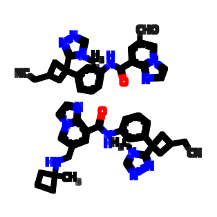 Cn1cnnc1C1(c2cccc(NC(=O)c3cc(C=O)cn4ccnc34)c2)CC(CC#N)C1.Cn1cnnc1C1(c2cccc(NC(=O)c3cc(CNC4(C)CCC4)cn4ccnc34)c2)CC(CC#N)C1